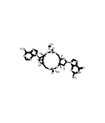 C#S[P@]1(=O)OC[C@H]2O[C@@H](n3cnc4c(=O)[nH]c(N)nc43)[C@H](F)[C@@H]2O[P@](=O)(S)OC[C@H]2O[C@@H](n3cnc4c(N)ncnc43)[C@H](O1)[C@@H]2O